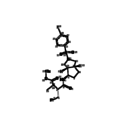 CC(C)C[C@@H](C(=O)N[C@@H]1CC[C@H]2CN(S(=O)(=O)c3ccc(F)cc3)C[C@H]21)N(C)C(=O)OC(C)(C)C